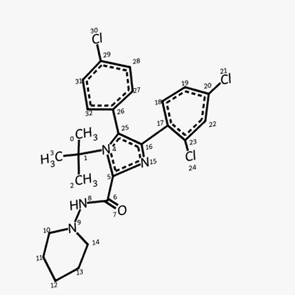 CC(C)(C)n1c(C(=O)NN2CCCCC2)nc(-c2ccc(Cl)cc2Cl)c1-c1ccc(Cl)cc1